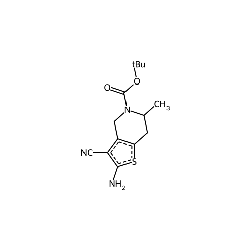 CC1Cc2sc(N)c(C#N)c2CN1C(=O)OC(C)(C)C